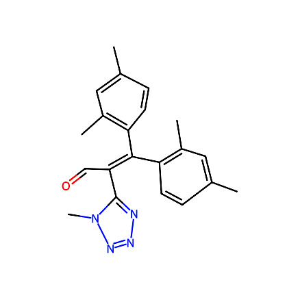 Cc1ccc(C(=C(C=O)c2nnnn2C)c2ccc(C)cc2C)c(C)c1